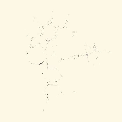 C[C@H]1CC[C@]2(CC(C#CC(C)(C)S(C)(=O)=O)N(Cc3c(F)cc(F)cc3F)O2)[C@H]2CN1C(=O)c1c(O)c(=O)c(C(N)=O)cn12